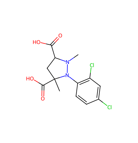 CN1C(C(=O)O)CC(C)(C(=O)O)N1c1ccc(Cl)cc1Cl